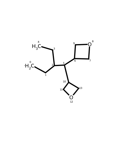 [CH2]CC(CC)C(C1COC1)C1COC1